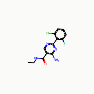 CCNC(=O)c1cnc(-c2c(F)cccc2Cl)nc1N